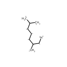 [2H]CC(C)CCCC(C)C